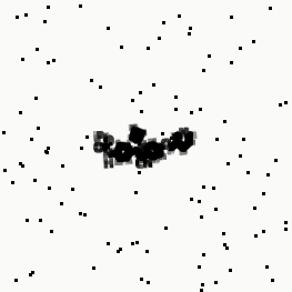 CC(C)OC(=O)Nc1ccc(-c2c(C#N)c3ccc(OCc4cccnc4)cc3n2C2CCC2)cc1